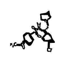 O=S(=O)(N[C@H](CN1CCCC1)c1ccc(Cl)cc1)c1ccc(OC(F)(F)F)cc1